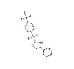 FC(F)(F)c1ccc(C(F)(F)C2NC(c3ccccc3)CO2)cc1